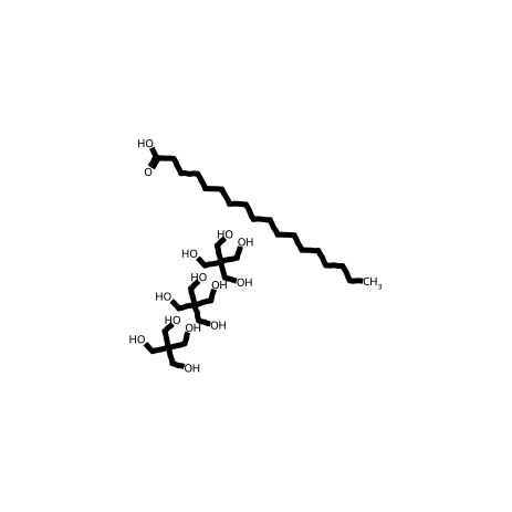 CCCCCCCCCCCCCCCCCC(=O)O.OCC(CO)(CO)CO.OCC(CO)(CO)CO.OCC(CO)(CO)CO